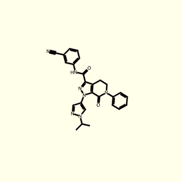 CC(C)n1cc(-n2nc(C(=O)Nc3cccc(C#N)c3)c3c2C(=O)N(c2ccccc2)CC3)cn1